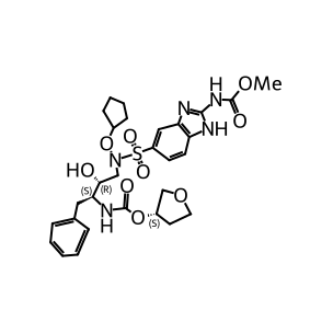 COC(=O)Nc1nc2cc(S(=O)(=O)N(C[C@@H](O)[C@H](Cc3ccccc3)NC(=O)O[C@H]3CCOC3)OC3CCCC3)ccc2[nH]1